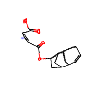 O=C(O)/C=C\C(=O)OC1CC2CC1C1CC=CC21